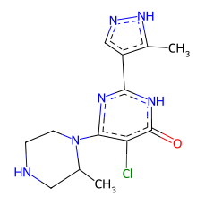 Cc1[nH]ncc1-c1nc(N2CCNCC2C)c(Cl)c(=O)[nH]1